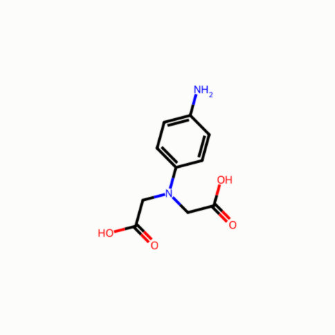 Nc1ccc(N(CC(=O)O)CC(=O)O)cc1